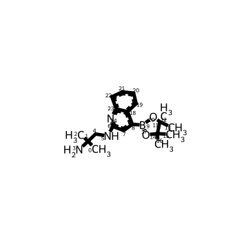 CC(C)(N)CNc1cc(B2OC(C)(C)C(C)(C)O2)c2ccccc2n1